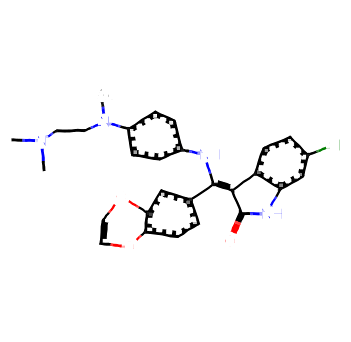 CC(=O)N(CCN(C)C)c1ccc(NC(=C2C(=O)Nc3cc(Cl)ccc32)c2ccc3c(c2)OC=CO3)cc1